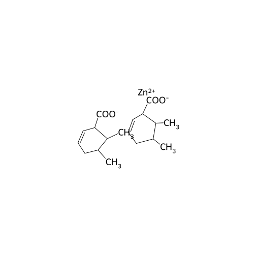 CC1CC=CC(C(=O)[O-])C1C.CC1CC=CC(C(=O)[O-])C1C.[Zn+2]